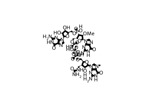 CO[C@@H]1[C@H](P(=O)(O)OC[C@H]2O[C@@H](n3cnc4c(=O)[nH]c(N)nc43)[C@H](O)[C@@H]2O)[C@@H](COP(=O)(O)OP(=O)(O)OP(=O)(O)OC[C@H]2OC(n3c[n+](C)c4c(=O)[nH]c(N)nc43)[C@H](O)[C@@H]2CNC(N)=O)O[C@H]1n1cnc2c(=O)[nH]c(N)nc21